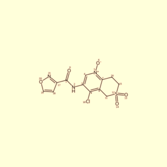 O=C(Nc1c[n+]([O-])c2c(c1Cl)CS(=O)(=O)CC2)c1ccon1